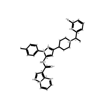 Cc1ccc(-n2nc(C3CCN(C(C)c4cccc(F)n4)CC3)cc2NC(=O)c2cnn3cccnc23)cc1